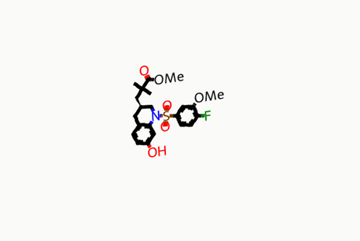 COC(=O)C(C)(C)C[C@@H]1Cc2ccc(O)cc2N(S(=O)(=O)c2ccc(F)c(OC)c2)C1